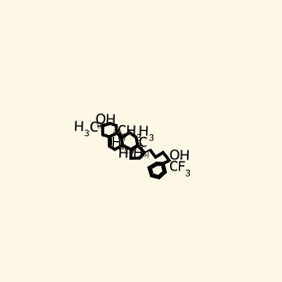 C[C@]1(O)CC[C@@]2(C)C(=CC[C@H]3[C@@H]4CC[C@H](CCCC(O)(c5ccccc5)C(F)(F)F)[C@@]4(C)CC[C@@H]32)C1